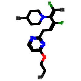 CC/C(F)=C(\C(F)=C/Cc1nccc(OCCC(C)C)n1)N1CCC(CC)CC1